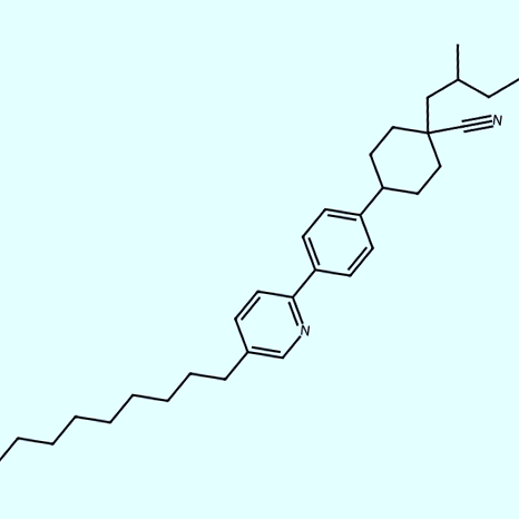 CCCCCCCCCc1ccc(-c2ccc(C3CCC(C#N)(CC(C)CC)CC3)cc2)nc1